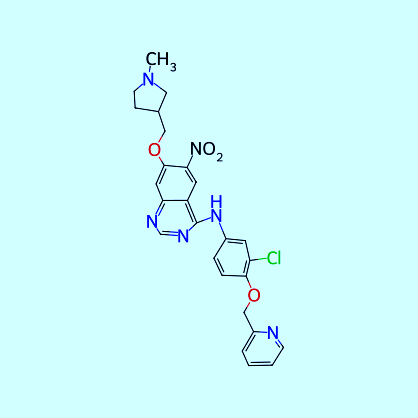 CN1CCC(COc2cc3ncnc(Nc4ccc(OCc5ccccn5)c(Cl)c4)c3cc2[N+](=O)[O-])C1